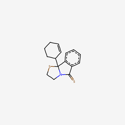 S=C1c2ccccc2C2(C3C=CCCC3)SCCN12